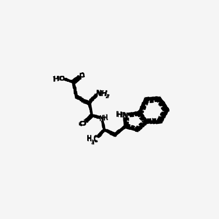 CC(Cc1cc2ccccc2[nH]1)NC(=O)C(N)CC(=O)O